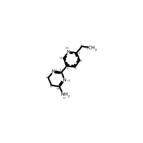 CCc1ccc(C2=NCCC(N)=N2)cn1